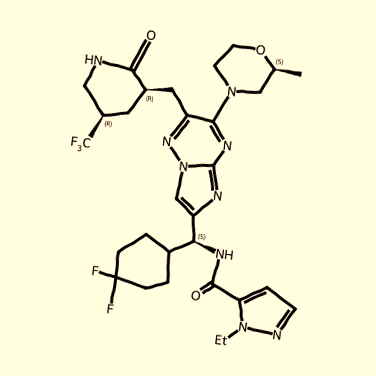 CCn1nccc1C(=O)N[C@H](c1cn2nc(C[C@H]3C[C@@H](C(F)(F)F)CNC3=O)c(N3CCO[C@@H](C)C3)nc2n1)C1CCC(F)(F)CC1